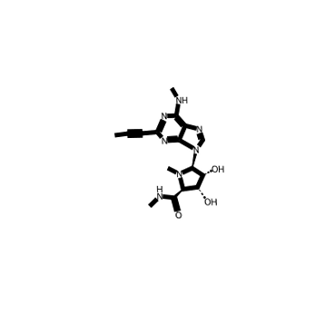 CC#Cc1nc(NC)c2ncn([C@H]3[C@H](O)[C@H](O)[C@@H](C(=O)NC)N3C)c2n1